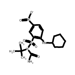 CC(C)(C)N(C(N)=O)S(=O)(=O)c1cc([N+](=O)[O-])ccc1NC1CCCCC1